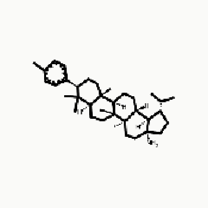 Cc1ccc([C@H]2CC[C@]3(C)[C@H]4CC[C@@H]5[C@H]6[C@H](C(C)C)CC[C@]6(N)CC[C@@]5(C)[C@]4(C)CC[C@H]3C2(C)C)cc1